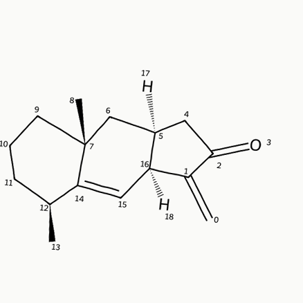 C=C1C(=O)C[C@@H]2C[C@@]3(C)CCC[C@H](C)C3=C[C@H]12